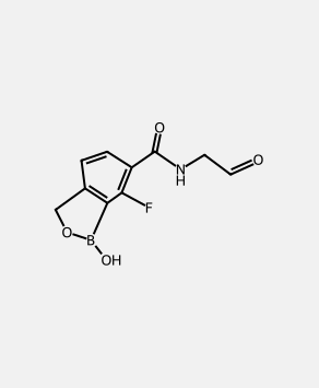 O=CCNC(=O)c1ccc2c(c1F)B(O)OC2